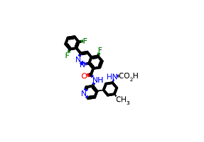 C[C@@H]1C[C@H](NC(=O)O)C[C@H](c2ccncc2NC(=O)c2ccc(F)c3cc(-c4c(F)cccc4F)nnc23)C1